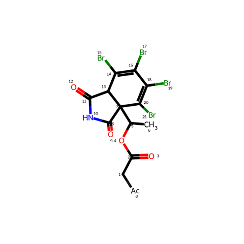 CC(=O)CC(=O)OC(C)C12C(=O)NC(=O)C1C(Br)=C(Br)C(Br)=C2Br